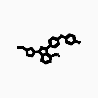 Nc1ncnc2c1c(-c1ccc(Oc3ccc(F)cc3)cc1)nn2C1CCC(C=O)C1